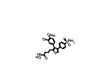 COc1ccc(-c2c(-c3ccc(S(N)(=O)=O)cc3)csc2CCCC(=O)NO)cc1Cl